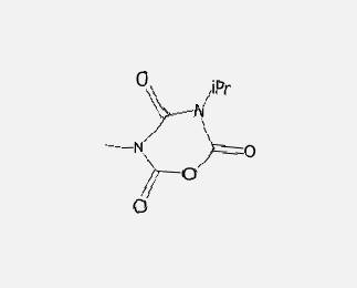 CC(C)n1c(=O)oc(=O)n(C)c1=O